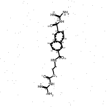 N=C(N)NC(=O)OCCNC(=O)c1ccc2cc(C(=O)NC(=N)N)ccc2c1